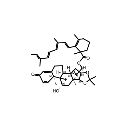 CC=C(C)C=CC=C(C)C=CC1=C(C)CCCC1(C)C(=O)OCC(=O)[C@@]12OC(C)(C)O[C@@H]1C[C@H]1[C@@H]3CCC4=CC(=O)C=C[C@]4(C)C3(F)[C@@H](O)C[C@@]12C